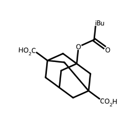 CCC(C)C(=O)OC12CC3CC(C(=O)O)(C1)CC(C(=O)O)(C3)C2